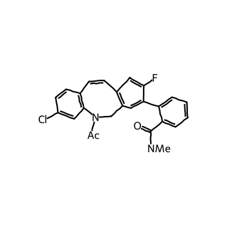 CNC(=O)c1ccccc1-c1cc2c(cc1F)/C=C\c1ccc(Cl)cc1N(C(C)=O)C2